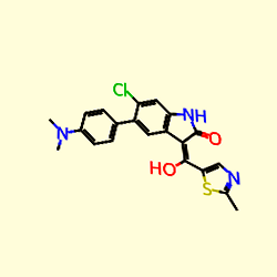 Cc1ncc(C(O)=C2C(=O)Nc3cc(Cl)c(-c4ccc(N(C)C)cc4)cc32)s1